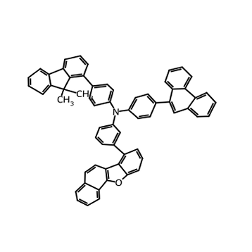 CC1(C)c2ccccc2-c2cccc(-c3ccc(N(c4ccc(-c5cc6ccccc6c6ccccc56)cc4)c4cccc(-c5cccc6oc7c8ccccc8ccc7c56)c4)cc3)c21